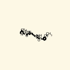 CC(F)Oc1cccc(CNC(=O)c2cn(CCCCn3cc(C(=O)NCc4cc(C(F)(F)F)ccn4)nn3)nn2)c1